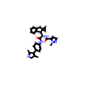 CC1=NCC(C)=C1c1ccc(NC(=O)[C@@H](NC(=O)c2ccnn2C)C2c3ccccc3CC23CC3)cc1